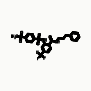 CS(=O)(=O)c1ccc(S(=O)(=O)Nc2cc(C(F)(F)F)ccc2C(=O)NCCCc2ccccc2)cc1